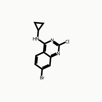 Clc1nc(NC2CC2)c2ccc(Br)cc2n1